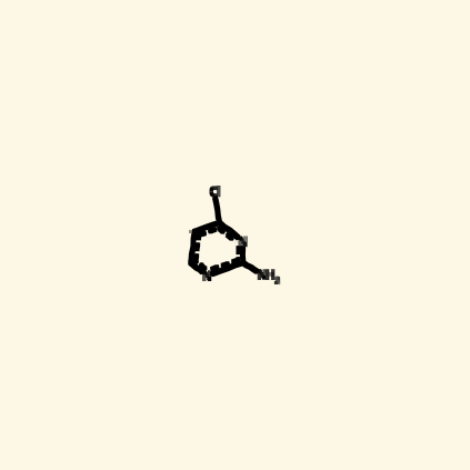 Nc1nc[c]c(Cl)n1